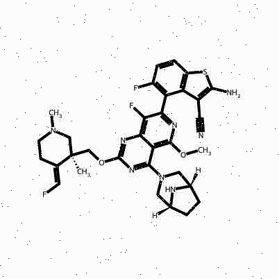 COc1nc(-c2c(F)ccc3sc(N)c(C#N)c23)c(F)c2nc(OC[C@]3(C)CN(C)CC/C3=C\F)nc(N3C[C@H]4CC[C@@H](C3)N4)c12